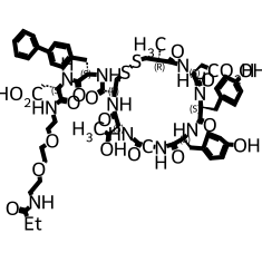 CCC(=O)NCCOCCOCCNC(=O)[C@H](CC(=O)O)NC(=O)[C@H](Cc1ccc(-c2ccccc2)cc1)NC(=O)[C@@H]1CSSC[C@H](C)C(=O)N[C@@H](CC(=O)O)C(=O)N[C@@H](Cc2ccc(O)cc2)C(=O)N[C@@H](Cc2ccc(O)cc2)C(=O)NCC(=O)N[C@@H](C(C)O)C(=O)N1